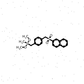 CO[Si](C)(Cc1ccc(CS(=O)(=O)c2ccc3ccccc3c2)cc1)OC